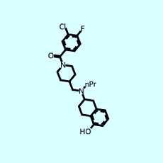 CCCN(CC1CCN(C(=O)c2ccc(F)c(Cl)c2)CC1)C1CCc2c(O)cccc2C1